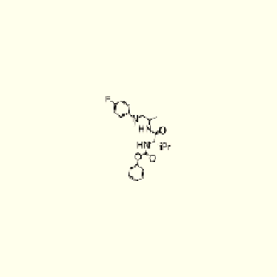 CC(CN(C)c1ccc(F)cc1)NC(=O)[C@@H](NC(=O)Oc1ccccc1)C(C)C